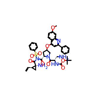 C=C[C@@H]1C[C@]1(N)C(=O)N(C(=O)[C@@H]1CC(Oc2cc(-c3ccccc3)nc3cc(OC)ccc23)CN1C(=O)[C@H](CN)NC(=O)OC(C)(C)C)S(=O)(=O)c1ccccc1